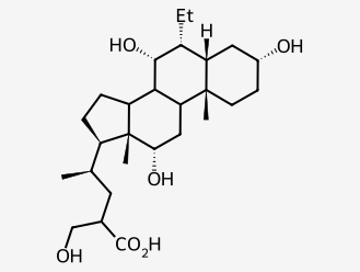 CC[C@H]1[C@@H](O)C2C3CC[C@H]([C@H](C)CC(CO)C(=O)O)[C@@]3(C)[C@@H](O)CC2[C@@]2(C)CC[C@@H](O)C[C@@H]12